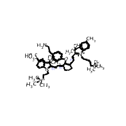 Cc1ccc2c(c1)C(C)(C)C(/C=C/C1=C(Oc3ccc(CCN)cc3)C(=C/C=C3/N(CCC[N+](C)(C)C)c4ccc(S(=O)(=O)O)cc4C3(C)C)/CCC1)=[N+]2CCC[N+](C)(C)C